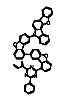 C=CC(=C)c1nc(-c2ccccc2)nc(-c2cccc3oc4ccc(-c5cccc6oc7ccc(-n8c9ccccc9c9c%10oc%11ccccc%11c%10ccc98)cc7c56)cc4c23)n1